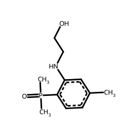 Cc1ccc(P(C)(C)=O)c(NCCO)c1